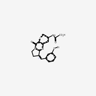 CCOc1cccc(/C=C2/CCn3c2nc2cc(NC(=O)C(=O)O)ccc2c3=O)c1